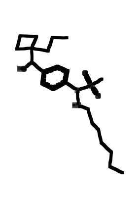 CCCCCCCNN(c1ccc(C(O)C2(CCC)CCC2)cc1)S(C)(=O)=O